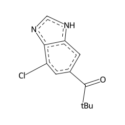 CC(C)(C)C(=O)c1cc(Cl)c2nc[nH]c2c1